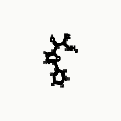 CCC(N)C(=O)c1nnc(-c2cccnc2)o1